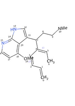 C=C/C=C\C(=C/C)C(CCNC)c1c[nH]c2nccc(OC)c12